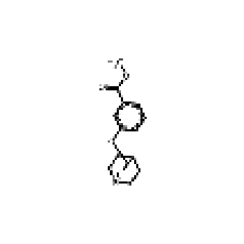 COC(=O)c1cccc(OC2CN3CCC2CC3)c1